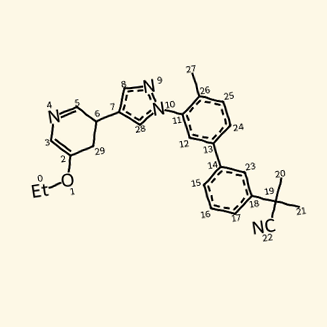 CCOC1=CN=CC(c2cnn(-c3cc(-c4cccc(C(C)(C)C#N)c4)ccc3C)c2)C1